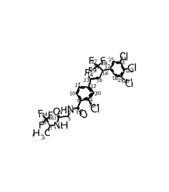 CC(NC(=O)CNC(=O)c1ccc(C(F)=CC(c2cc(Cl)c(Cl)c(Cl)c2)C(F)(F)F)cc1Cl)C(F)(F)F